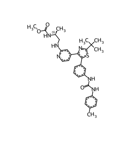 COC(=O)N[C@@H](C)CNc1cc(-c2nc(C(C)(C)C)sc2-c2cccc(NC(=O)Nc3ccc(C)cc3)c2)ccn1